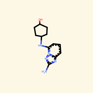 Nc1nc2cccc(NC3CCC(O)CC3)n2n1